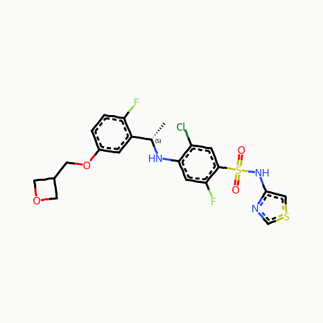 C[C@H](Nc1cc(F)c(S(=O)(=O)Nc2cscn2)cc1Cl)c1cc(OCC2COC2)ccc1F